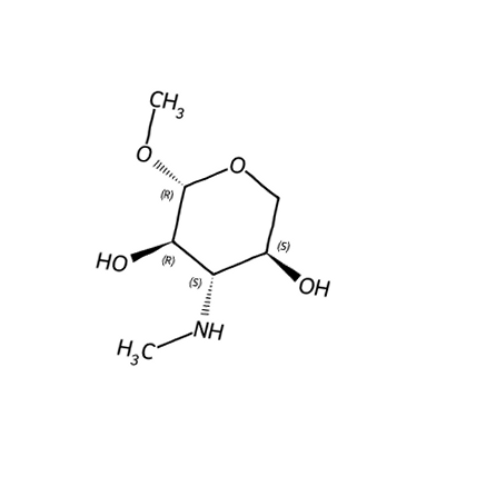 CN[C@@H]1[C@@H](O)[C@H](OC)OC[C@H]1O